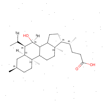 [2H]C(C)[C@@H]1[C@@H]2C[C@H](C)CC[C@]2(C)C2CC[C@@]3(C)C(CC[C@@H]3[C@H](C)CCC(=O)O)C2[C@]1([2H])O